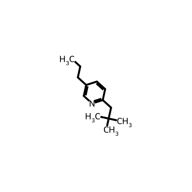 CCCc1ccc(CC(C)(C)C)nc1